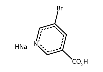 O=C(O)c1cncc(Br)c1.[NaH]